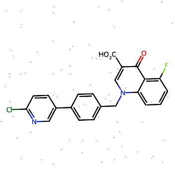 O=C(O)c1cn(Cc2ccc(-c3ccc(Cl)nc3)cc2)c2cccc(F)c2c1=O